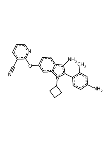 Cc1cc(N)ccc1-c1c(N)c2ccc(Oc3ncccc3C#N)cc2n1C1CCC1